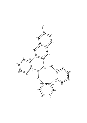 Cc1ccc2c[n+]3c(cc2c1)-c1ccccc1C1C[n+]2ccccc2-c2ccccc2CC13